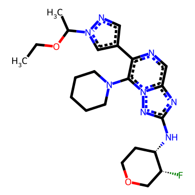 CCOC(C)n1cc(-c2ncc3nc(N[C@H]4CCOC[C@H]4F)nn3c2N2CCCCC2)cn1